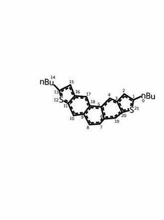 CCCCc1cc2cc3c(ccc4cc5sc(CCCC)cc5cc43)cc2s1